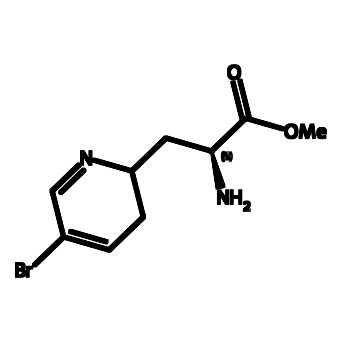 COC(=O)[C@@H](N)CC1CC=C(Br)C=N1